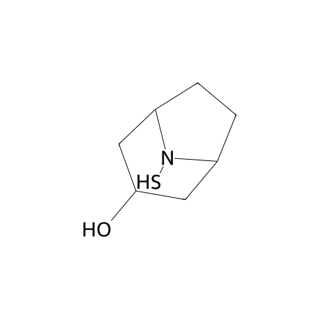 OC1CC2CCC(C1)N2S